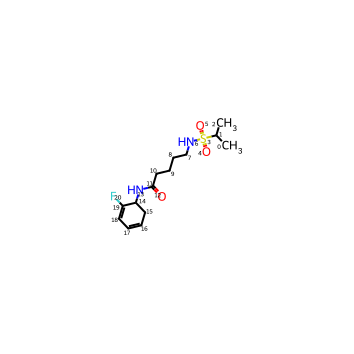 CC(C)S(=O)(=O)NCCCCC(=O)NC1CC=CC=C1F